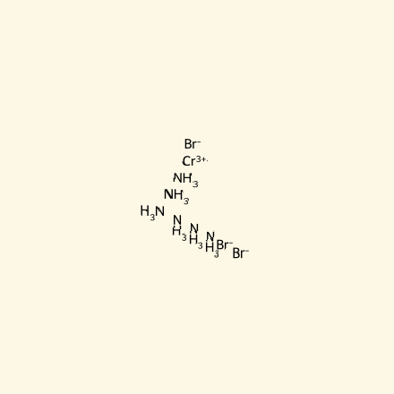 N.N.N.N.N.N.[Br-].[Br-].[Br-].[Cr+3]